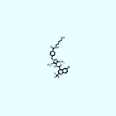 Cc1nn(CC2=CCC(C(=O)NCCCCO)C=C2)c(C)c1NC(=O)c1cc(C(F)(F)F)nc2ccc(Br)cc12